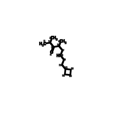 CC(C)C(=O)C(C)CNCCC1CCC1